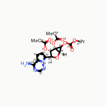 COC(=O)O[C@@H]1[C@@]2(OC(=O)OC)C(OC(=O)OC(C)C)[C@H]2O[C@@]1(C)c1ccc2c(N)ncnn12